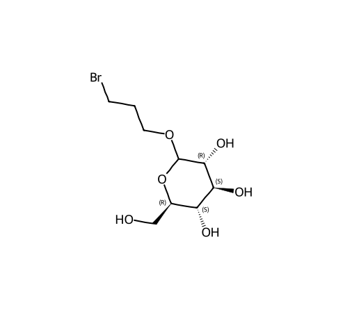 OC[C@H]1OC(OCCCBr)[C@H](O)[C@@H](O)[C@@H]1O